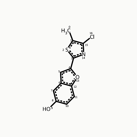 Cc1sc(-c2cc3cc(O)ccc3o2)nc1Cl